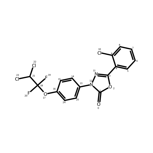 O=c1oc(-c2ccccc2Cl)nn1-c1ccc(OC(F)(F)C(Cl)Cl)cc1